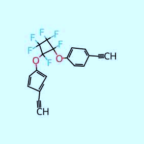 C#Cc1ccc(OC2(F)C(F)(F)C(F)(F)C2(F)Oc2ccc(C#C)cc2)cc1